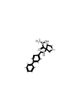 CN(O)C(=O)C1(NCc2ccc(-c3ccccc3)cc2)CCSC1